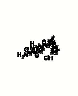 Cc1cc(OC(=O)N2CCN(C(=O)C(N)CC(N)=O)CC2)n(-c2ccccc2)n1.Cl